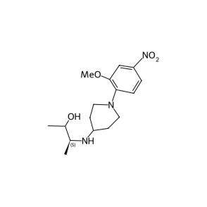 COc1cc([N+](=O)[O-])ccc1N1CCC(N[C@@H](C)C(C)O)CC1